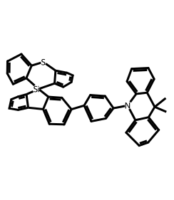 CC1(C)c2ccccc2N(c2ccc(-c3ccc4c(c3)[Si]3(c5ccccc5Sc5ccccc53)c3ccccc3-4)cc2)c2ccccc21